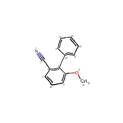 COc1cccc(C#N)c1-c1ccccc1